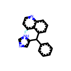 Fc1ccnc2cccc(C(c3ccccc3)c3cnc[nH]3)c12